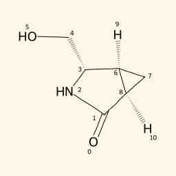 O=C1N[C@H](CO)[C@H]2C[C@@H]12